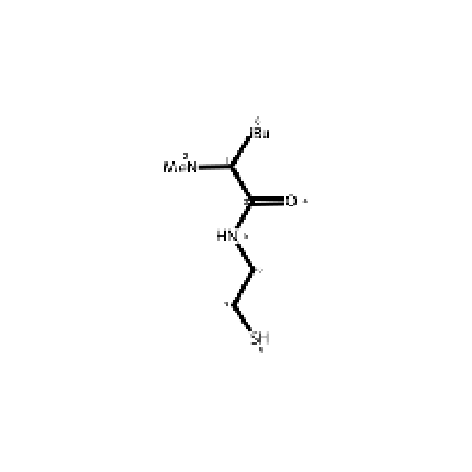 CCC(C)C(NC)C(=O)NCCS